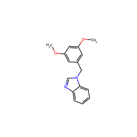 COc1cc(Cn2cnc3ccccc32)cc(OC)c1